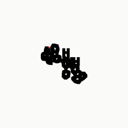 C1=C(c2ccc3c(c2)-c2ccccc2C32c3ccccc3Oc3ccccc32)NNC(c2ccc3c(c2)-c2cccc4cccc-3c24)=C1c1ccccc1